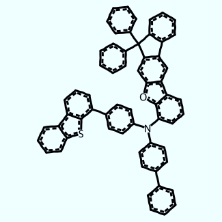 c1ccc(-c2ccc(N(c3ccc(-c4cccc5c4sc4ccccc45)cc3)c3cccc4c3oc3cc5c(cc34)-c3ccccc3C5(c3ccccc3)c3ccccc3)cc2)cc1